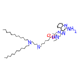 CCCCCCCCCCCCN(CCCCCCCCCCCC)CCCN(C)CCCCCC(=O)OC(C)(C)Cn1c(CNCC)nc2c(N)nc3ccccc3c21